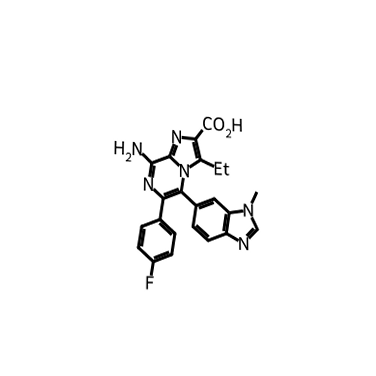 CCc1c(C(=O)O)nc2c(N)nc(-c3ccc(F)cc3)c(-c3ccc4ncn(C)c4c3)n12